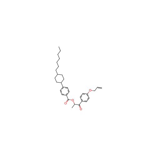 C=CCOc1ccc(C(=O)C(C)OC(=O)c2ccc(C3CCC(CCCCCCC)CC3)cc2)cc1